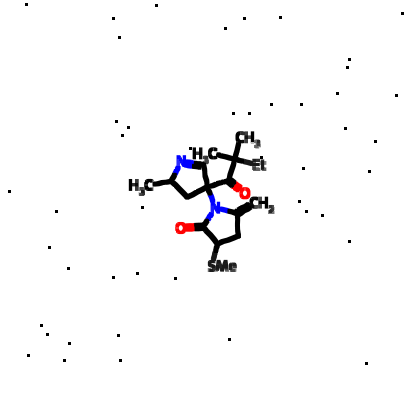 C=C1CC(SC)C(=O)N1C1(C(=O)C(C)(C)CC)C=NC(C)C1